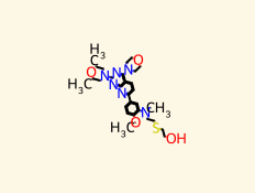 COc1ccc(-c2ccc3c(N4CCOCC4)nc(N4CC(C)OC(C)C4)nc3n2)cc1N(C)CCSCCO